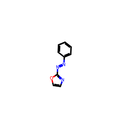 c1ccc(N=Nc2ncco2)cc1